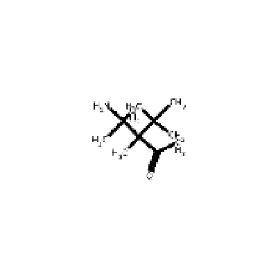 CC(=O)C(C)(C(C)(C)C)C(C)(C)N